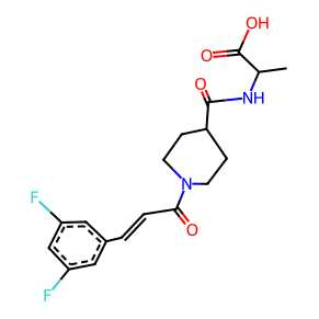 CC(NC(=O)C1CCN(C(=O)C=Cc2cc(F)cc(F)c2)CC1)C(=O)O